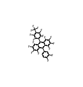 Fc1ccc(-c2c3c(F)c(F)c(F)c(F)c3c(-c3c(F)c(F)c(C(F)(F)F)c(F)c3F)c3c(F)c(F)c(F)c(F)c23)cc1F